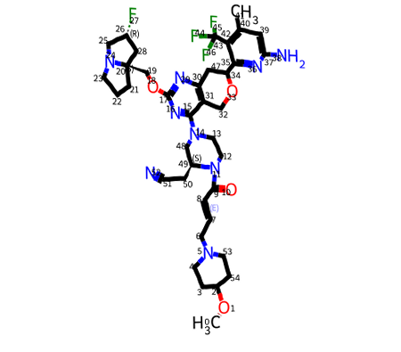 COC1CCN(C/C=C/C(=O)N2CCN(c3nc(OC[C@@]45CCCN4C[C@H](F)C5)nc4c3COC(c3nc(N)cc(C)c3C(F)(F)F)C4)C[C@@H]2CC#N)CC1